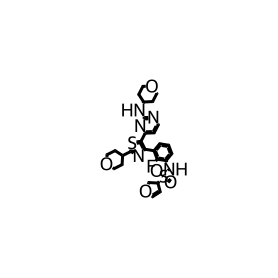 O=S(=O)(Nc1cccc(-c2nc(C3CCOCC3)sc2-c2ccnc(NC3CCOCC3)n2)c1F)C1C=COC1